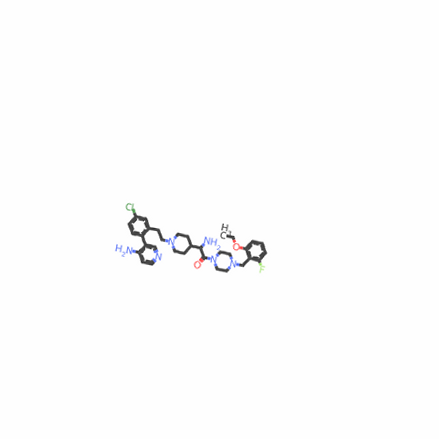 CCOc1cccc(F)c1CN1CCN(C(=O)C(N)C2CCN(CCc3cc(Cl)ccc3-c3cnccc3N)CC2)CC1